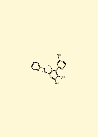 N#Cc1c(N)nc(NCc2ccccn2)c(C#N)c1-c1cccc(O)c1